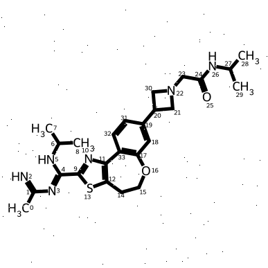 CC(=N)/N=C(\NC(C)C)c1nc2c(s1)CCOc1cc(C3CN(CC(=O)NC(C)C)C3)ccc1-2